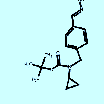 CC(C)(C)OC(=O)N(Cc1ccc(C=NO)cc1)C1CC1